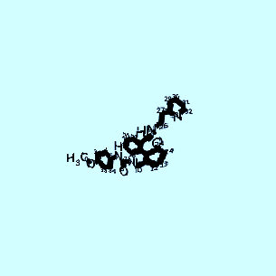 COc1ccc(NC(=O)NCc2ccccc2-c2ccccc2C(=O)NCCc2ccccn2)cc1